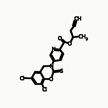 C#CCC(C)OC(=O)c1ccc(N2Cc3cc(Cl)cc(Cl)c3OC2=S)cn1